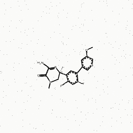 COc1cncc(-c2cc([C@@]3(C)CN(C)C(=O)C(N)=N3)c(F)cc2F)c1